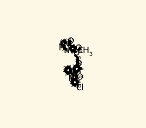 COc1cc2c(cc1OCCCOc1ccc(-n3c(-c4ccccc4)nc4ccc(Cl)cc4c3=O)cc1)N=C[C@@H]1CCCN1C2=O